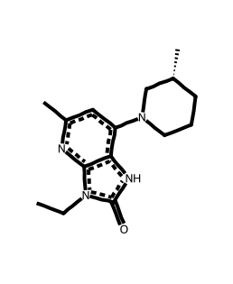 CCn1c(=O)[nH]c2c(N3CCC[C@@H](C)C3)cc(C)nc21